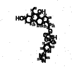 CC[C@@H]1C2C[C@H](O)CC[C@]2(C)C2CC[C@@]3(C)C(CCC3[C@H](C)COC(=O)NS(=O)(=O)c3ccc(-n4cncn4)nc3)C2[C@@H]1O